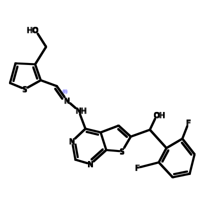 OCc1ccsc1/C=N/Nc1ncnc2sc(C(O)c3c(F)cccc3F)cc12